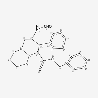 O=CNC1CC2CCCCC2N(C(=O)OCc2ccccc2)C1c1ccccc1